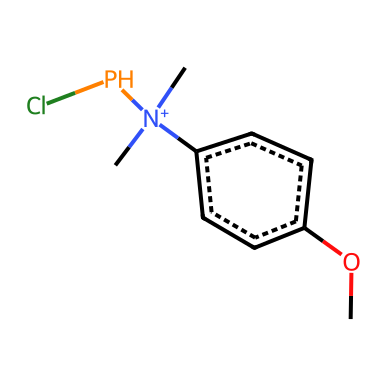 COc1ccc([N+](C)(C)PCl)cc1